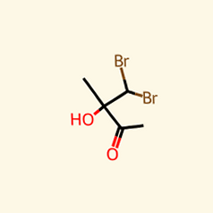 CC(=O)C(C)(O)C(Br)Br